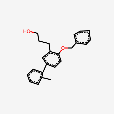 Cc1ccccc1-c1ccc(OCc2ccccc2)c(CCCO)c1